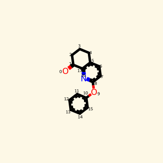 O=C1CCCc2ccc(Oc3ccccc3)nc21